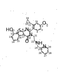 COc1ccc(-c2nc3sc4c(O)cccc4c3c(=O)n2CCNCc2ccccn2)c(C2CC2)c1